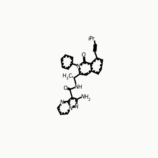 CC(C)C#Cc1cccc2cc([C@@H](C)NC(=O)c3c(N)nn4cccnc34)n(-c3ccccc3)c(=O)c12